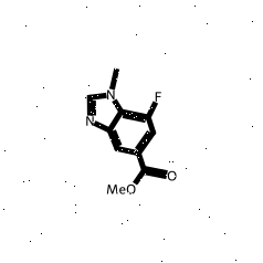 COC(=O)c1cc(F)c2c(c1)ncn2C